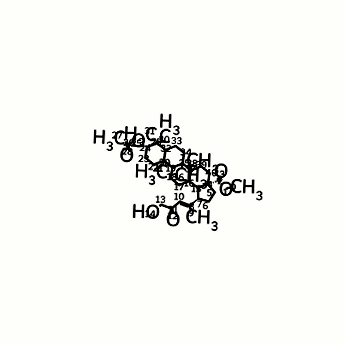 COC(=O)[C@]12CC[C@@H](C(C)=CC(=O)CO)C1C1CCC3[C@@]4(C)CC[C@H](OC(C)=O)C(C)(C)C4CC[C@@]3(C)[C@]1(C)CC2